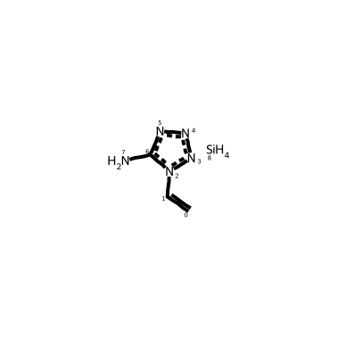 C=Cn1nnnc1N.[SiH4]